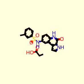 CCC(=O)O.Cc1cccc(S(=O)(=O)Nc2ccc3[nH]c(=O)c4[nH]ccc4c3c2)c1